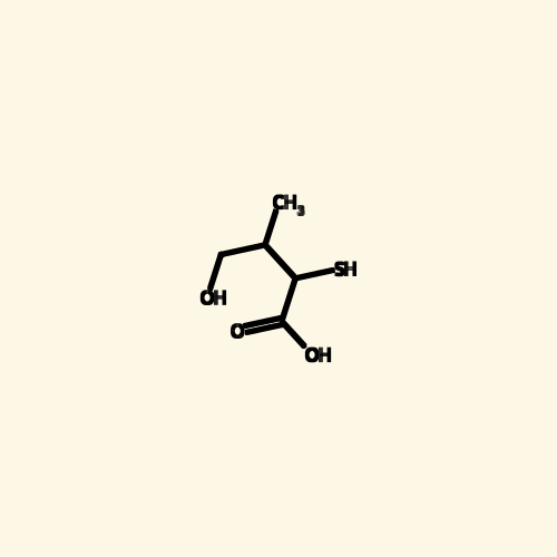 CC(CO)C(S)C(=O)O